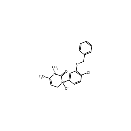 CN1C(=O)[N+]([O-])(c2ccc(Cl)c(OCc3ccccc3)c2)CC=C1C(F)(F)F